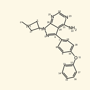 CN1[CH]C(n2nc(-c3ccc(Oc4ccccc4)cc3)c3c(N)ncnc32)C1